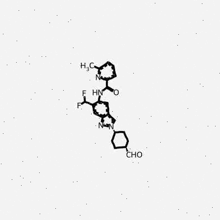 Cc1cccc(C(=O)Nc2cc3cn([C@H]4CC[C@H](C=O)CC4)nc3cc2C(F)F)n1